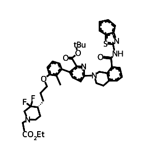 CCOC(=O)CN1CC[C@@H](CCCOc2cccc(-c3ccc(N4CCc5cccc(C(=O)Nc6nc7ccccc7s6)c5C4)nc3C(=O)OC(C)(C)C)c2C)C(F)(F)C1